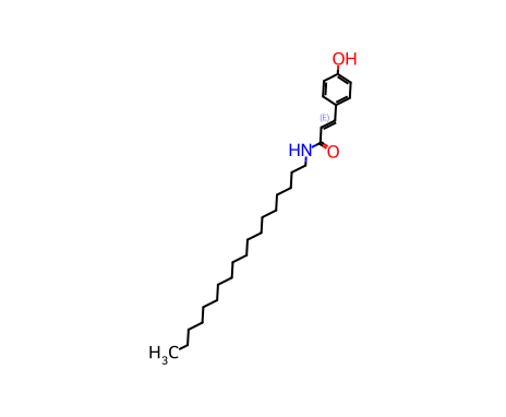 CCCCCCCCCCCCCCCCCCNC(=O)/C=C/c1ccc(O)cc1